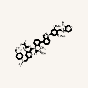 COc1cc(-n2ncc3c(-c4cccc(N(C(=O)OC(C)(C)C)c5nc(C(F)F)nc6cc(CN(C)[C@H]7CC[C@H](CC(=O)O)CC7)cnc56)c4C)cccc32)cc(OC)c1CN[C@@H]1CCOC[C@@H]1O